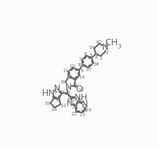 CN1CCC(c2ccc(-c3ccc4c(c3)C(=O)N(C(c3nc5cccnc5[nH]3)c3n[nH]c5c3CCC5)C4)cc2)CC1